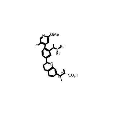 CCN(CC)C(C)c1cc(C2CCc3ccc([C@H](C)[C@H](C)C(=O)O)cc3O2)ccc1-c1cc(OC)ncc1F